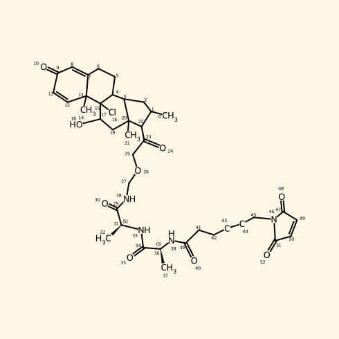 CC1CC2C3CCC4=CC(=O)C=CC4(C)C3(Cl)C(O)CC2(C)C1C(=O)COCNC(=O)[C@H](C)NC(=O)[C@H](C)NC(=O)CCCCCN1C(=O)C=CC1=O